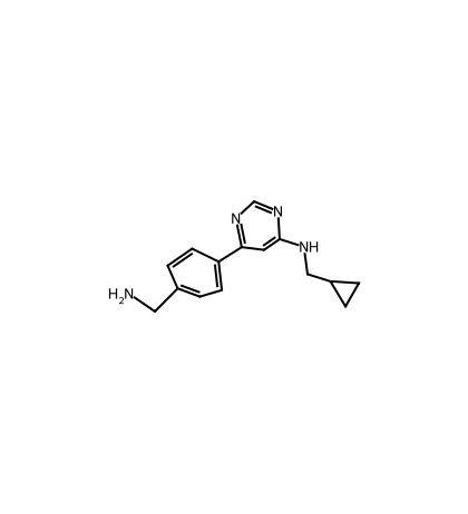 NCc1ccc(-c2cc(NCC3CC3)ncn2)cc1